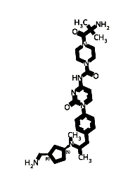 CC(Cc1ccc(-n2ccc(NC(=O)N3CCN(C(=O)C(C)(C)N)CC3)nc2=O)cc1)N(C)[C@H]1CC[C@@H](CN)C1